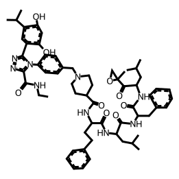 CCNC(=O)c1nnc(-c2cc(C(C)C)c(O)cc2O)n1-c1ccc(CN2CCC(C(=O)NC(CCc3ccccc3)C(=O)NC(CC(C)C)C(=O)NC(Cc3ccccc3)C(=O)NC(CC(C)C)C(=O)C3(C)CO3)CC2)cc1